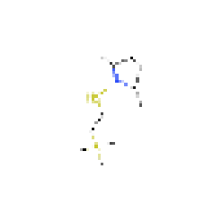 CC1CCC(C)N1[SH](C)CCS(C)(C)C